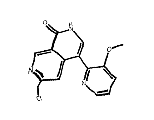 COc1cccnc1-c1c[nH]c(=O)c2cnc(Cl)cc12